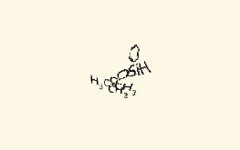 CC(C)(C)OCO[SiH]c1ccccc1